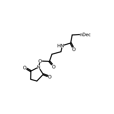 CCCCCCCCCCCC(=O)NCCC(=O)ON1C(=O)CCC1=O